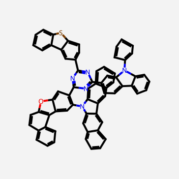 c1ccc(-n2c3ccccc3c3ccc(-c4nc(-c5ccc6sc7ccccc7c6c5)nc(-c5cc6oc7ccc8ccccc8c7c6cc5-n5c6cc7ccccc7cc6c6cc7ccccc7cc65)n4)cc32)cc1